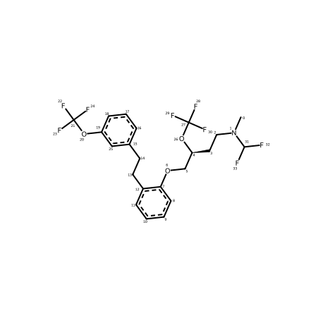 CN(CC[C@@H](COc1ccccc1CCc1cccc(OC(F)(F)F)c1)OC(F)(F)F)C(F)F